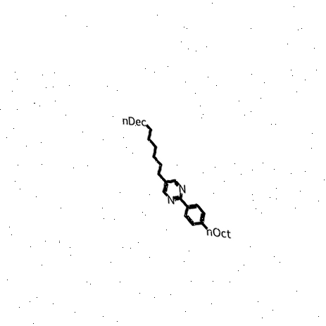 CCCCCCCCCCCCCCCCc1cnc(-c2ccc(CCCCCCCC)cc2)nc1